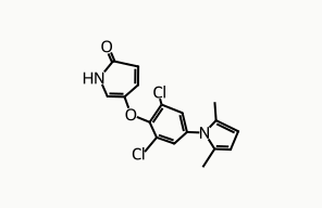 Cc1ccc(C)n1-c1cc(Cl)c(Oc2ccc(=O)[nH]c2)c(Cl)c1